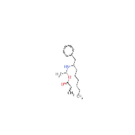 C=CC(=O)OC(C)NC(CCCCCC)Cc1ccccc1